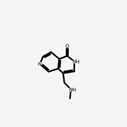 CNCc1c[nH]c(=O)c2ccncc12